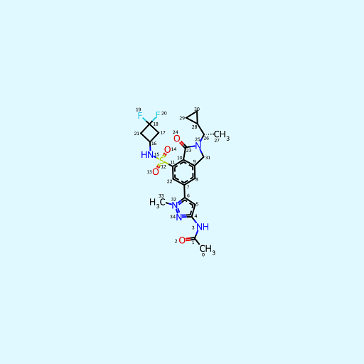 CC(=O)Nc1cc(-c2cc3c(c(S(=O)(=O)NC4CC(F)(F)C4)c2)C(=O)N([C@@H](C)C2CC2)C3)n(C)n1